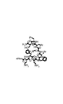 CCCCCCC(=O)N[C@@H](CCN)C(=O)N[C@@H](Cc1ccccc1)C(=O)N[C@@H](CCN)C(=O)N[C@H](Cc1ccccc1)C(=O)N[C@@H](CC(C)C)C(=O)N[C@@H](CCN)C(=O)N[C@H](CC(C)C)C(=O)N[C@@H](CC(C)C)C(=O)N[C@@H](CO)C(N)=O